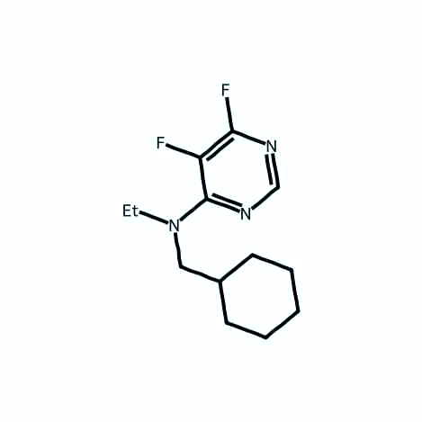 CCN(CC1CCCCC1)c1ncnc(F)c1F